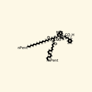 CCCCCC=CCC=CCC=CCC=CCCCC(=O)OCC(COC(=O)CCC/C=C\C/C=C\C/C=C\C/C=C\CCCCC)OC(=O)[C@@H]1C[C@@H]2CCC[C@@H]2N1C(=O)C(C)NC(CCc1ccccc1)C(=O)O